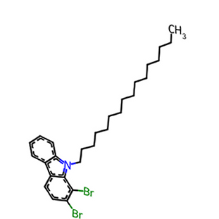 CCCCCCCCCCCCCCCCn1c2ccccc2c2ccc(Br)c(Br)c21